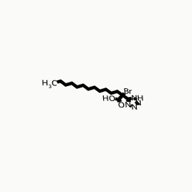 CCCCCCCCCCCCC(Br)(C(=O)O)c1nnn[nH]1